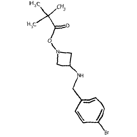 CC(C)(C)C(=O)ON1CC(NCc2ccc(Br)cc2)C1